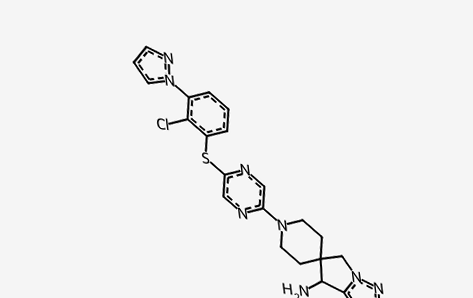 NC1c2ccnn2CC12CCN(c1cnc(Sc3cccc(-n4cccn4)c3Cl)cn1)CC2